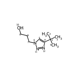 CC(C)(C)c1cn(CCCO)nn1